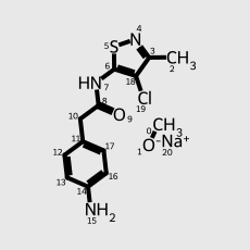 C[O-].Cc1nsc(NC(=O)Cc2ccc(N)cc2)c1Cl.[Na+]